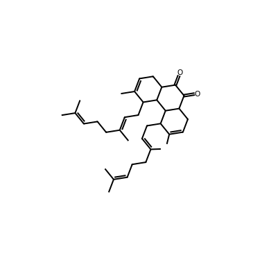 CC(C)=CCC/C(C)=C/CC1C(C)=CCC2C(=O)C(=O)C3CC=C(C)C(C/C=C(\C)CCC=C(C)C)C3C21